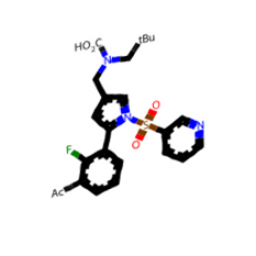 CC(=O)c1cccc(-c2cc(CN(CC(C)(C)C)C(=O)O)cn2S(=O)(=O)c2cccnc2)c1F